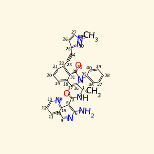 C[C@H](NC(=O)c1c(N)ncc2cccnc12)c1cc2cccc(C#Cc3ccn(C)n3)c2c(=O)n1-c1ccccc1